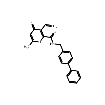 C=Cc1c(C(=O)NCc2ccc(-c3ccccc3)cc2)oc(C)cc1=S